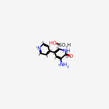 Nc1cc(-c2ccncc2)c[nH]c1=O.O=S(=O)(O)O